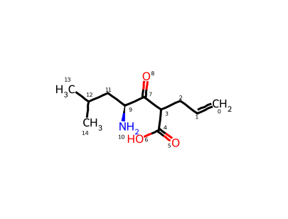 C=CCC(C(=O)O)C(=O)[C@@H](N)CC(C)C